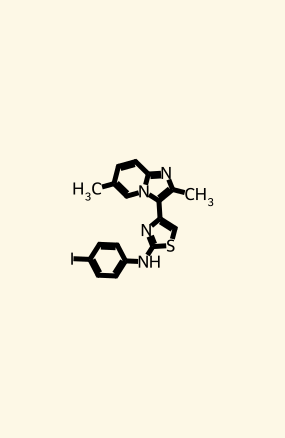 Cc1ccc2nc(C)c(-c3csc(Nc4ccc(I)cc4)n3)n2c1